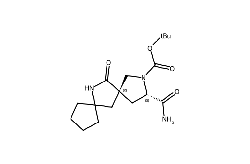 CC(C)(C)OC(=O)N1C[C@@]2(C[C@H]1C(N)=O)CC1(CCCC1)NC2=O